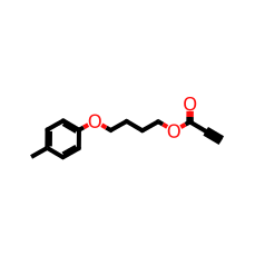 C#CC(=O)OCCCCOc1ccc(C)cc1